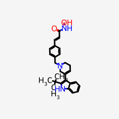 CC(C)(C)c1[nH]c2ccccc2c1C1=CCCN(Cc2ccc(C=CC(=O)NO)cc2)C1